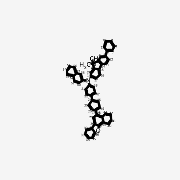 CC1(C)c2cc(-c3ccccc3)ccc2-c2ccc(N(c3ccc(-c4ccc(-c5cc6c7ccccc7oc6c6ccccc56)cc4)cc3)c3ccc4ccccc4c3)cc21